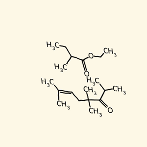 CC(C)=CCC(C)(C)C(=O)C(C)C.CCOC(=O)C(C)CC